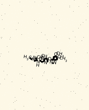 CCn1cc(NC(=O)Cc2ncc(Oc3ncnc4cc(OC)c(OC)cc34)cc2OC)c(C)n1